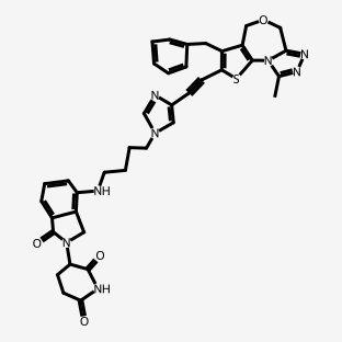 Cc1nnc2n1-c1sc(C#Cc3cn(CCCCNc4cccc5c4CN(C4CCC(=O)NC4=O)C5=O)cn3)c(Cc3ccccc3)c1COC2